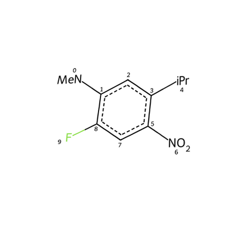 CNc1cc(C(C)C)c([N+](=O)[O-])cc1F